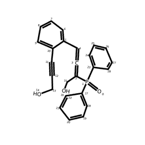 O=P(C(=C=Cc1ccccc1C#CCO)CO)(c1ccccc1)c1ccccc1